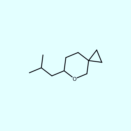 CC(C)CC1CCC2(CC2)CO1